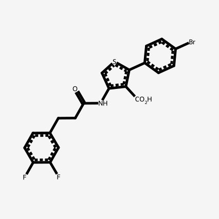 O=C(CCc1ccc(F)c(F)c1)Nc1csc(-c2ccc(Br)cc2)c1C(=O)O